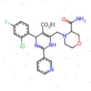 CCOC(=O)C1=C(CN2CCOCC2C(N)=O)NC(c2cccnc2)=NC1c1ccc(F)cc1Cl